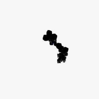 N#Cc1ncc(N2C(=O)N(Cc3ccc(/C=C/C(=O)NOC(c4ccccc4)(c4ccccc4)c4ccccc4)cc3)C3(CCC3)C2=O)cc1C(F)(F)F